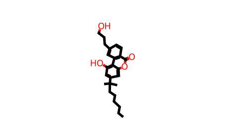 CCCCCCC(C)(C)c1cc(O)c2c(c1)oc(=O)c1ccc(CCCO)cc12